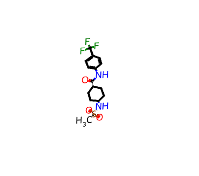 CS(=O)(=O)N[C@H]1CC[C@H](C(=O)Nc2ccc(C(F)(F)F)cc2)CC1